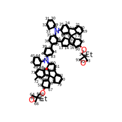 CCC1(COc2ccc(C3(c4cc(C)ccc4C)c4ccccc4-c4ccc(N(c5ccccc5)c5ccc(-c6ccc(N(c7ccccc7)c7ccc8c(c7)C(C7=CCC(OCC9(CC)COC9)C=C7)(c7cc(C)ccc7C)c7ccccc7-8)cc6)cc5)cc43)cc2)COC1